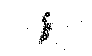 C[C@H]1C[C@H]2O[C@@]34CC[C@H]5[C@@H]6CCC7=CC(=O)CC[C@]7(C)[C@H]6CC56CC63C[C@@H]4[C@@H]2N(Cc2ccc(Oc3ccccc3)cc2)C1